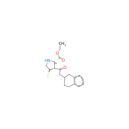 CCOC(=O)[C@H]1NCC(=S)C1C(=O)CC1CCc2ccccc2C1